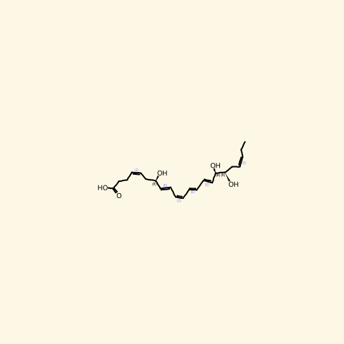 CC/C=C\C[C@@H](O)[C@H](O)/C=C/C=C/C=C\C=C\[C@H](O)C/C=C\CCC(=O)O